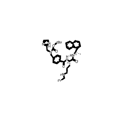 CC(C)CNCCC[C@H](NC(=O)c1ccc(CN(Cc2ncc[nH]2)C(=O)OC(C)(C)C)cc1)C(=O)N[C@@H](C)c1cccc2ccccc12